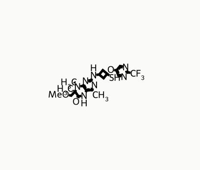 COC[C@]1(C)C(=O)Nc2c(C)nc(NC3CC(S)(Oc4cnc(C(F)(F)F)nc4)C3)nc2N1C